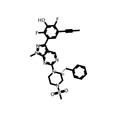 CC#Cc1cc(-c2nn(C)c3nc(N4CCN(S(C)(=O)=O)C[C@H]4Cc4ccccc4)ncc23)c(F)c(O)c1F